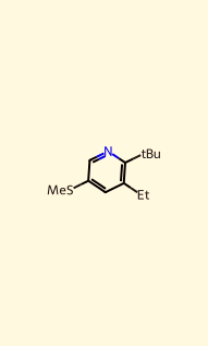 CCc1cc(SC)cnc1C(C)(C)C